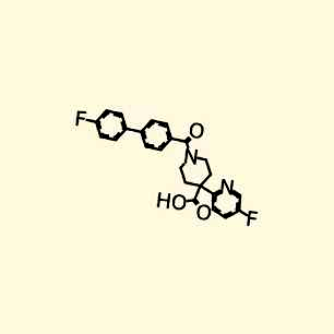 O=C(c1ccc(-c2ccc(F)cc2)cc1)N1CCC(C(=O)O)(c2ccc(F)cn2)CC1